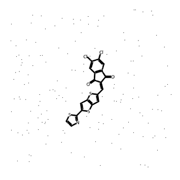 O=C1C(=Cc2cc3sc(-c4nccs4)cc3s2)C(=O)c2cc(Cl)c(Cl)cc21